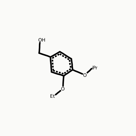 CCOc1cc(CO)ccc1OC(C)C